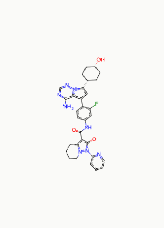 Nc1ncnn2c1c(-c1ccc(NC(=O)c3c4n(n(-c5ccccn5)c3=O)CCCC4)cc1F)cc2[C@H]1CC[C@@H](O)CC1